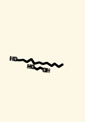 CCCCCCCCCCCCO.OCCO